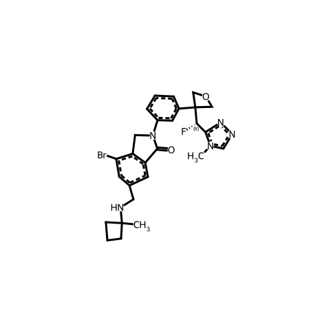 Cn1cnnc1[C@H](F)C1(c2cccc(N3Cc4c(Br)cc(CNC5(C)CCC5)cc4C3=O)c2)COC1